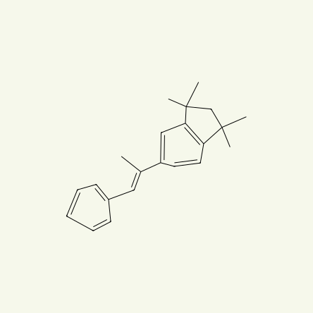 CC(=Cc1ccccc1)c1ccc2c(c1)C(C)(C)CC2(C)C